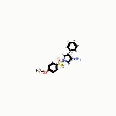 COc1ccc(S(=O)(=O)N2C[C@H](c3ccccc3)[C@@H](N)C2)cc1